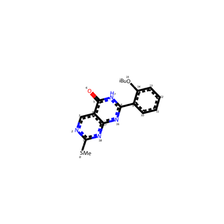 CSc1ncc2c(=O)[nH]c(-c3ccccc3OCC(C)C)nc2n1